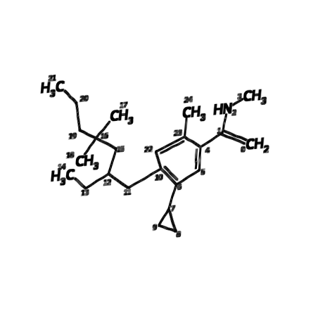 C=C(NC)c1cc(C2CC2)c(CC(CC)CC(C)(C)CCC)cc1C